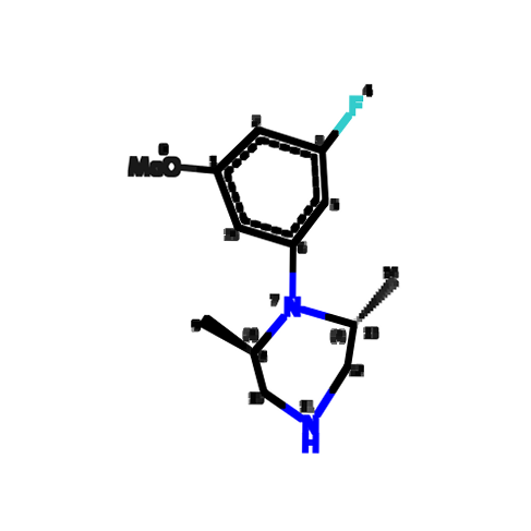 COc1cc(F)cc(N2[C@H](C)CNC[C@H]2C)c1